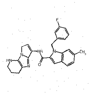 Cc1ccc2cc(C(=O)NC3=CCn4c3nc3c4NCCC3)n(Cc3cccc(F)c3)c2c1